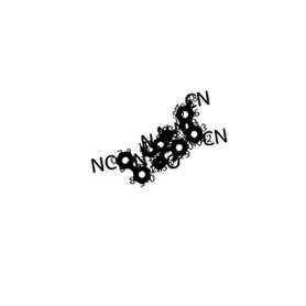 N#Cc1ccc2c(c1)c1ccccc1n2-c1cnc2c(c1)C1(c3ccccc3Oc3ccccc31)c1cc(-n3c4ccc(C#N)cc4c4cc(C#N)ccc43)cnc1-2